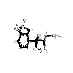 CNC(=O)C(C)(C)c1cccc2[nH]ncc12